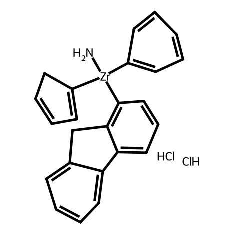 Cl.Cl.[NH2][Zr]([C]1=CC=CC1)([c]1ccccc1)[c]1cccc2c1Cc1ccccc1-2